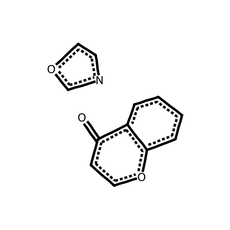 O=c1ccoc2ccccc12.c1cocn1